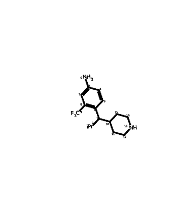 CC(C)C(c1ccc(N)cc1C(F)(F)F)C1CCNCC1